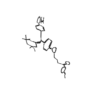 CCOC(=O)CCCOc1ccc(C(=C2CC(C)(C)CC(C)(C)C2)c2ccc(O)cc2)cc1